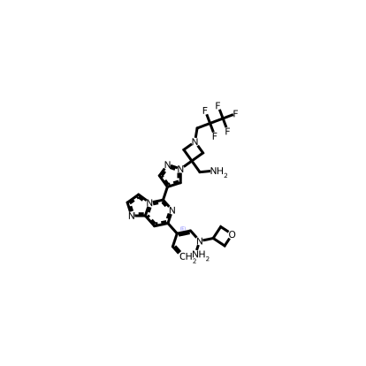 C=C/C(=C\N(N)C1COC1)c1cc2nccn2c(-c2cnn(C3(CN)CN(CC(F)(F)C(F)(F)F)C3)c2)n1